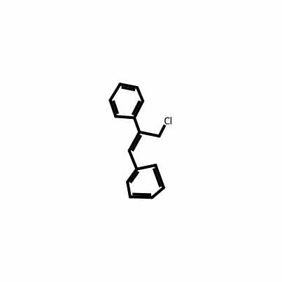 ClCC(=Cc1ccccc1)c1ccccc1